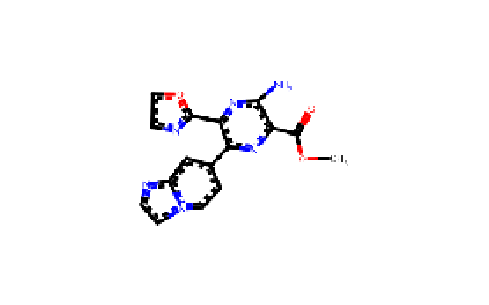 COC(=O)c1nc(-c2ccn3ccnc3c2)c(-c2ncco2)nc1N